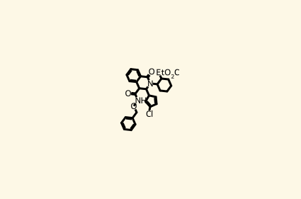 CCOC(=O)C1CCCCC1N1C(=O)c2ccccc2C(C(=O)NOCc2ccccc2)C1C1C=CC(Cl)=C1